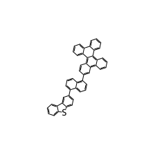 c1ccc2c(c1)sc1ccc(-c3cccc4c(-c5ccc6c(c5)c5ccccc5c5c7ccccc7c7ccccc7c65)cccc34)cc12